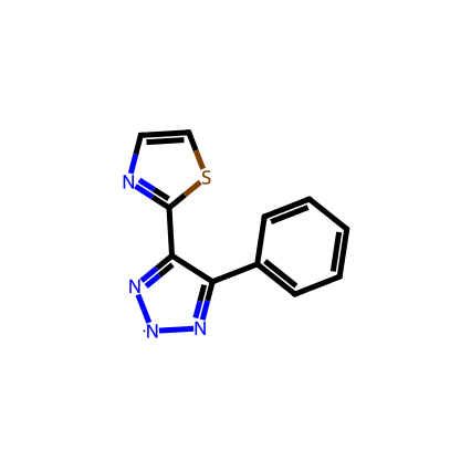 c1ccc(C2=N[N]N=C2c2nccs2)cc1